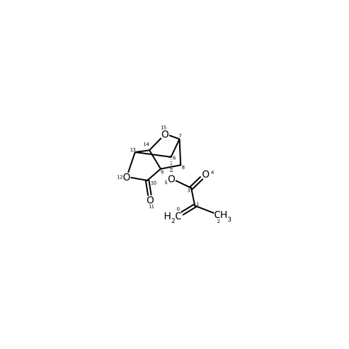 C=C(C)C(=O)O[C@H]1C2CC3C(=O)OC1C3O2